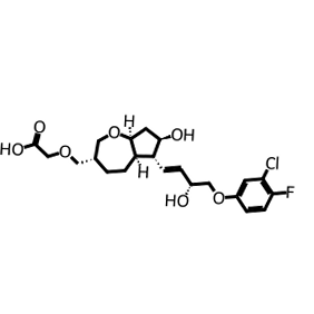 O=C(O)COC[C@H]1CC[C@@H]2[C@@H](/C=C/[C@@H](O)COc3ccc(F)c(Cl)c3)[C@H](O)C[C@@H]2OC1